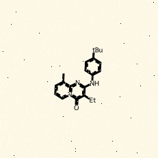 CCc1c(Nc2ccc(C(C)(C)C)cc2)nc2c(C)cccn2c1=O